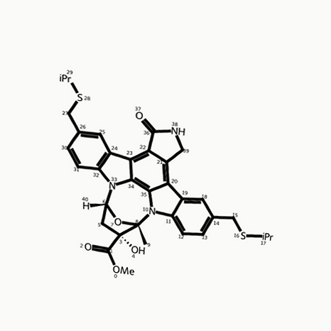 COC(=O)[C@@]1(O)C[C@H]2O[C@]1(C)n1c3ccc(CSC(C)C)cc3c3c4c(c5c6cc(CSC(C)C)ccc6n2c5c31)C(=O)NC4